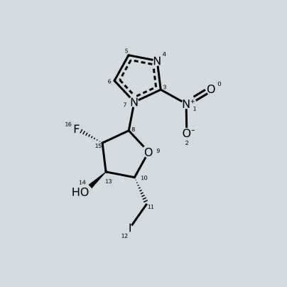 O=[N+]([O-])c1nccn1C1O[C@H](CI)[C@@H](O)[C@@H]1F